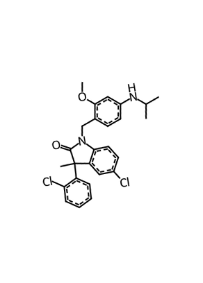 COc1cc(NC(C)C)ccc1CN1C(=O)C(C)(c2ccccc2Cl)c2cc(Cl)ccc21